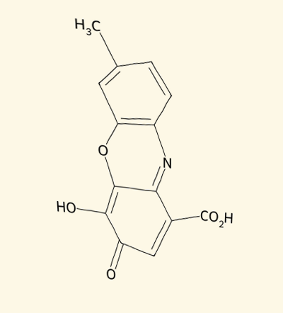 Cc1ccc2nc3c(C(=O)O)cc(=O)c(O)c-3oc2c1